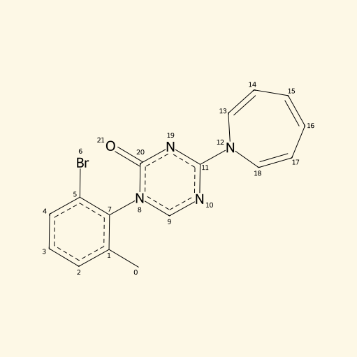 Cc1cccc(Br)c1-n1cnc(N2C=CC=CC=C2)nc1=O